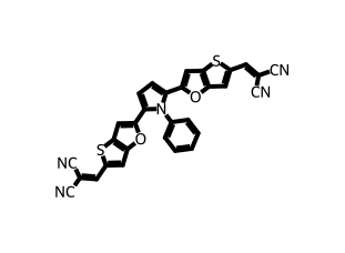 N#CC(C#N)=Cc1cc2oc(-c3ccc(-c4cc5sc(C=C(C#N)C#N)cc5o4)n3-c3ccccc3)cc2s1